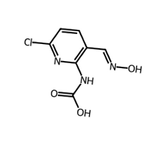 O=C(O)Nc1nc(Cl)ccc1C=NO